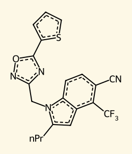 CCCc1cc2c(C(F)(F)F)c(C#N)ccc2n1Cc1noc(-c2cccs2)n1